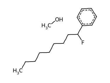 CCCCCCCCC(F)c1ccccc1.CO